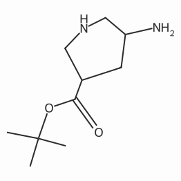 CC(C)(C)OC(=O)C1CNCC(N)C1